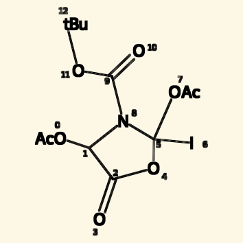 CC(=O)OC1C(=O)OC(I)(OC(C)=O)N1C(=O)OC(C)(C)C